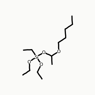 CCCCCOC(C)O[Si](CC)(OCC)OCC